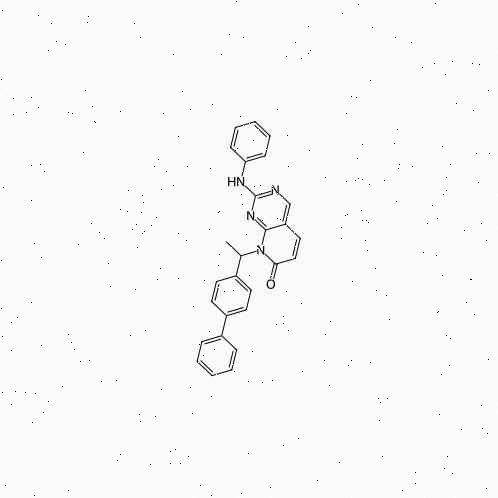 CC(c1ccc(-c2ccccc2)cc1)n1c(=O)ccc2cnc(Nc3ccccc3)nc21